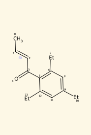 C/C=C/C(=O)c1c(CC)cc(CC)cc1CC